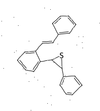 C(=Cc1ccccc1C1SC1c1ccccc1)c1ccccc1